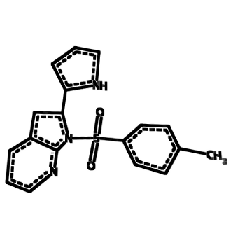 Cc1ccc(S(=O)(=O)n2c(-c3ccc[nH]3)cc3cccnc32)cc1